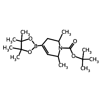 CC1C=C(B2OC(C)(C)C(C)(C)O2)CC(C)N1C(=O)OC(C)(C)C